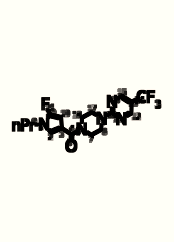 CCCn1cc(C(=O)N2CCN(c3ncc(C(F)(F)F)cn3)CC2)cc1F